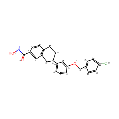 O=C(NO)c1ccc2c(c1)CC(c1cccc(OCc3ccc(Cl)cc3)c1)CC2